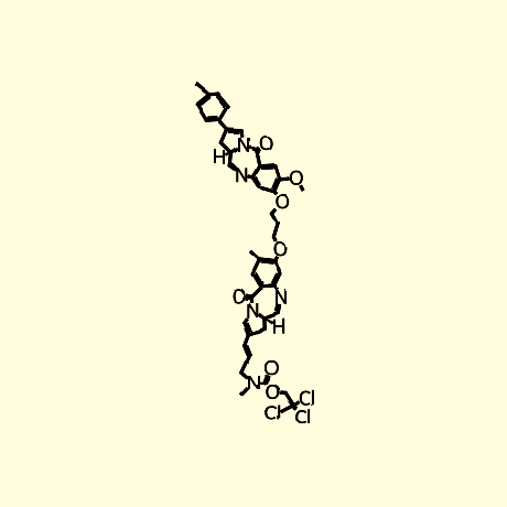 COc1cc2c(cc1OCCCOc1cc3c(cc1C)C(=O)N1C=C(/C=C/CN(C)C(=O)OCC(Cl)(Cl)Cl)C[C@H]1C=N3)N=C[C@@H]1CC(c3ccc(C)cc3)=CN1C2=O